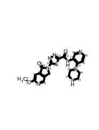 COc1cc2c(cn1)CN(c1nnc(C(=O)Nc3cnccc3N3CCNCC3)s1)C2=O